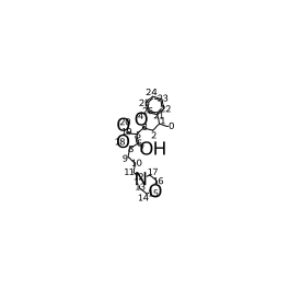 CC(CC(=O)C1=C(O)C(CCCN2CCOCC2)OC1=O)c1ccccc1